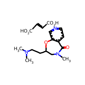 CN(C)CCC1CN(C)C(=O)c2ccncc2O1.O=C(O)C=CC(=O)O